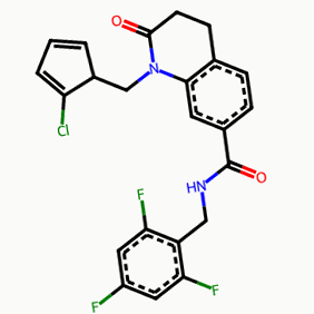 O=C(NCc1c(F)cc(F)cc1F)c1ccc2c(c1)N(CC1C=CC=C1Cl)C(=O)CC2